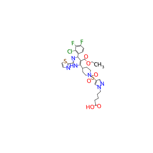 CCOC(=O)C1=C(C2CCN(S(=O)(=O)c3cnn(CCCCC(=O)O)c3)CC2)NC(c2nccs2)=NC1c1ccc(F)c(F)c1Cl